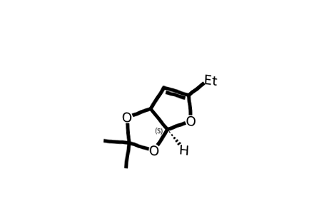 CCC1=CC2OC(C)(C)O[C@@H]2O1